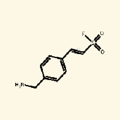 NCc1ccc(/C=C/S(=O)(=O)F)cc1